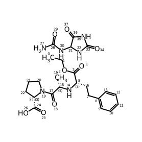 CCOC(=O)[C@H](CCc1ccccc1)N[C@@H](C)C(=O)N1CCC[C@H]1C(=O)O.NC(=O)NC1NC(=O)NC1=O